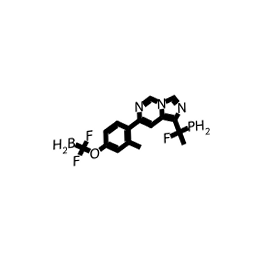 BC(F)(F)Oc1ccc(-c2cc3c(C(C)(F)P)ncn3cn2)c(C)c1